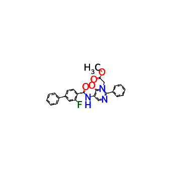 COC(=O)Cn1c(-c2ccccc2)ncc(NC(=O)c2ccc(-c3ccccc3)cc2F)c1=O